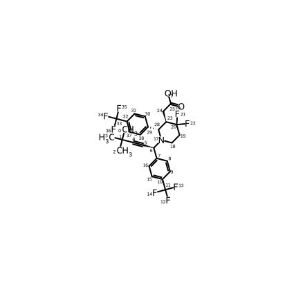 CC(C)(C)C#C[C@H](c1ccc(C(F)(F)F)cc1)N1CCC(F)(F)[C@H](CC(=O)O)[C@H]1c1ccc(C(F)(F)F)cc1